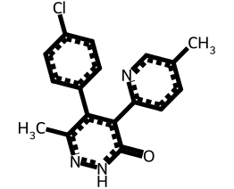 Cc1ccc(-c2c(-c3ccc(Cl)cc3)c(C)n[nH]c2=O)nc1